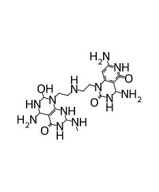 CNC1NC(=O)C2=C(N1)N(CCNCCN1C(=O)NC(N)c3c1cc(N)[nH]c3=O)C(O)NC2N